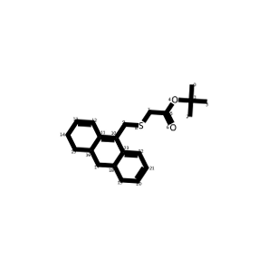 CC(C)(C)OC(=O)CSCC1=C2C=CCCC2CC2CC=CC=C12